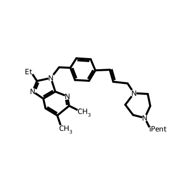 CCCC(C)N1CCN(CC=Cc2ccc(Cn3c(CC)nc4cc(C)c(C)nc43)cc2)CC1